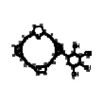 Oc1cc(-c2cc3cc4nc(cc5ccc(cc6nc(cc2[nH]3)C=C6)[nH]5)CC4)c(O)c(O)c1O